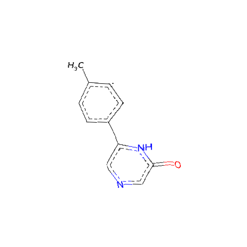 Cc1[c]cc(-c2cncc(=O)[nH]2)cc1